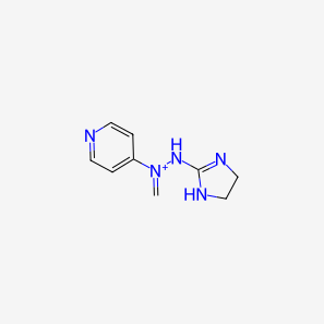 C=[N+](NC1=NCCN1)c1ccncc1